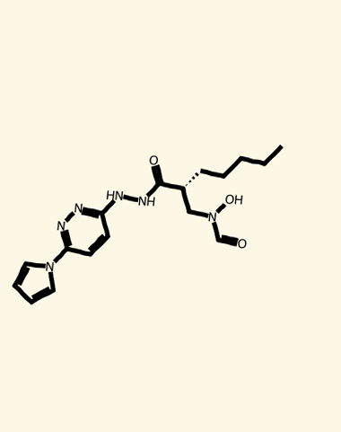 CCCCC[C@H](CN(O)C=O)C(=O)NNc1ccc(-n2cccc2)nn1